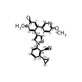 COc1ccc(-c2cc(=O)n(C)cc2-c2cnn(-c3cccc(C4CC4)c3C#N)c2)cn1